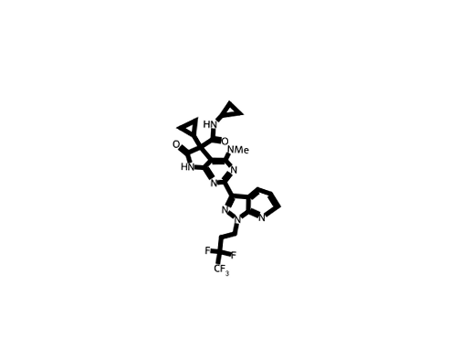 CNc1nc(-c2nn(CCC(F)(F)C(F)(F)F)c3ncccc23)nc2c1C(C(=O)NC1CC1)(C1CC1)C(=O)N2